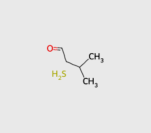 CC(C)CC=O.S